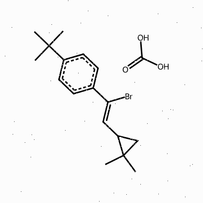 CC(C)(C)c1ccc(C(Br)=CC2CC2(C)C)cc1.O=C(O)O